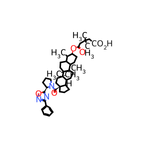 CC1C2CC[C@]3(C)C(CC[C@@H]4C5CCC[C@]5(C(=O)N5CCC[C@@H]5c5nc(-c6ccccc6)no5)CC[C@]43C)[C@@]2(C)CC[C@@H]1OC(=O)CC(C)(C)CC(=O)O